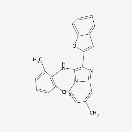 Cc1ccn2c(Nc3c(C)cccc3C)c(-c3cc4ccccc4o3)nc2c1